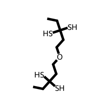 CCC(S)(S)CCOCCC(S)(S)CC